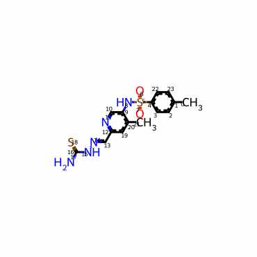 Cc1ccc(S(=O)(=O)Nc2cnc(C=NNC(N)=S)cc2C)cc1